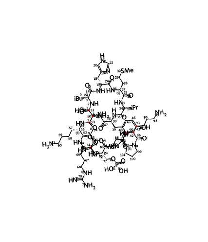 CCC(C)[C@H](NC(=O)[C@@H](N)CCCNC(=N)N)C(=O)N[C@H](Cc1c[nH]cn1)C(=O)N[C@@H](CCSC)C(=O)N[C@H](C(=O)N[C@@H](Cc1ccc(O)cc1)C(=O)N[C@@H](CO)C(=O)N[C@@H](CCCCN)C(=O)N[C@H](CCCNC(=N)N)C(=O)N[C@@H](COP(=O)(O)O)C(=O)NCC(=O)N[C@@H](CCCCN)C(=O)N1CCC[C@@H]1C(=O)NC)C(C)C